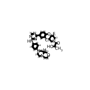 C[C@H](O)C(=O)N1CC[C@H](Oc2ccc(-c3ncnc(Nc4ccc(N5CCN6CCOC[C@H]6C5)cc4)n3)cc2C#N)[C@@H](F)C1